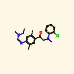 CCN(C)/C=N\c1cc(C)c(C(=O)CN(C)c2ccccc2Cl)cc1C